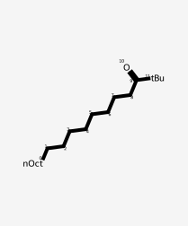 CCCCCCCCCCCCCCCCC(=O)C(C)(C)C